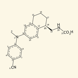 CN(c1ccc(C#N)cc1)c1ccc2c(c1)CCC[C@H]2CNC(=O)O